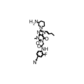 CCC=Cn1c(N2CCCC(N)C2)nc2c1c(=O)n(CC(=O)Nc1ccc(C#N)cc1F)c(=O)n2C